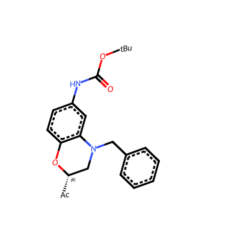 CC(=O)[C@H]1CN(Cc2ccccc2)c2cc(NC(=O)OC(C)(C)C)ccc2O1